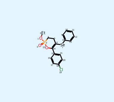 CCOP1(=O)CCC([Se]c2ccccc2)=C(c2ccc(Cl)cc2)O1